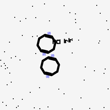 C1=C\CC/C=C\CC/1.C1=C\CC/C=C\CC/1.Cl.[Ir].[Ir]